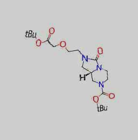 CC(C)(C)OC(=O)COCCN1C[C@H]2CN(C(=O)OC(C)(C)C)CCN2C1=O